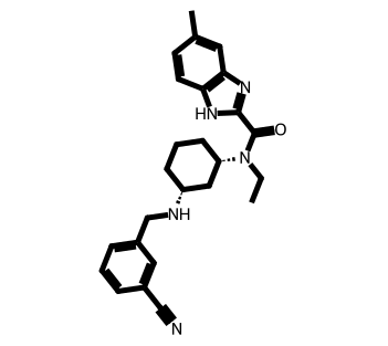 CCN(C(=O)c1nc2cc(C)ccc2[nH]1)[C@H]1CCC[C@@H](NCc2cccc(C#N)c2)C1